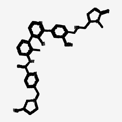 COc1cc(-c2nccc(-c3cccc(NC(=O)c4ccc(CN5CCC(O)C5)cn4)c3C)c2Cl)ccc1CNCC1CCC(=O)N1C